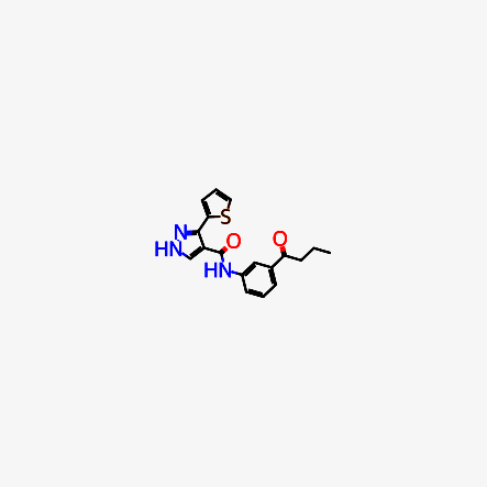 CCCC(=O)c1cccc(NC(=O)c2c[nH]nc2-c2cccs2)c1